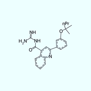 CCCC(C)(C)Oc1cccc(-c2cc(C(=O)NC(=N)N)c3ccccc3n2)c1